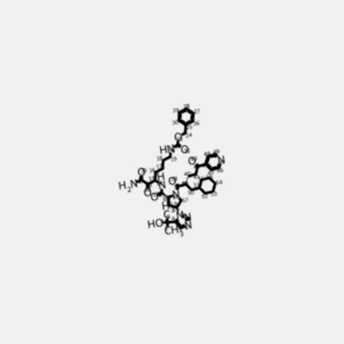 CC(C)(O)c1cnnn1[C@H]1C[C@@H](C(=O)NC(CCCCNC(=O)OCc2ccccc2)C(=O)C(N)=O)N(C(=O)[C@H](CCC(=O)c2ccncc2)CC2CCCCC2)C1